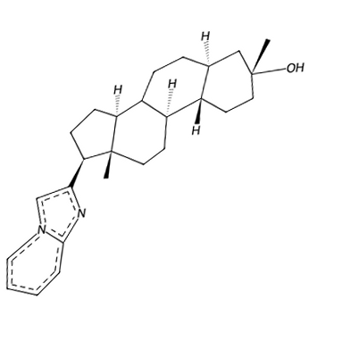 C[C@@]1(O)CC[C@H]2[C@@H](CCC3[C@@H]2CC[C@]2(C)[C@@H](c4cn5ccccc5n4)CC[C@@H]32)C1